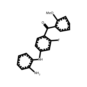 COc1ccccc1C(=O)c1ccc(Nc2ccccc2N)cc1F